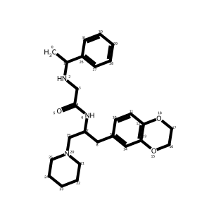 CC(NCC(=O)NC(Cc1ccc2c(c1)OCCO2)CN1CCCCC1)c1ccccc1